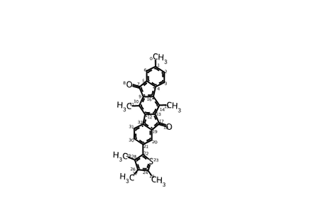 Cc1ccc2c(c1)c(=O)c1c(C)c3c(c(C)c12)c(=O)c1cc(-c2sc(C)c(C)c2C)ccc13